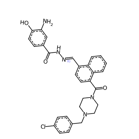 Nc1cc(C(=O)N/N=C/c2ccc(C(=O)N3CCN(Cc4ccc(Cl)cc4)CC3)c3ccccc23)ccc1O